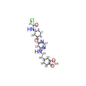 O=C(CCl)Nc1cccc(Oc2cc(NCCc3ccc4c(c3)OCO4)ncn2)c1